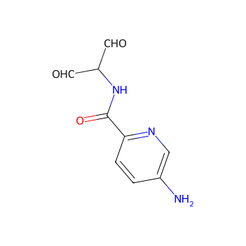 Nc1ccc(C(=O)NC(C=O)C=O)nc1